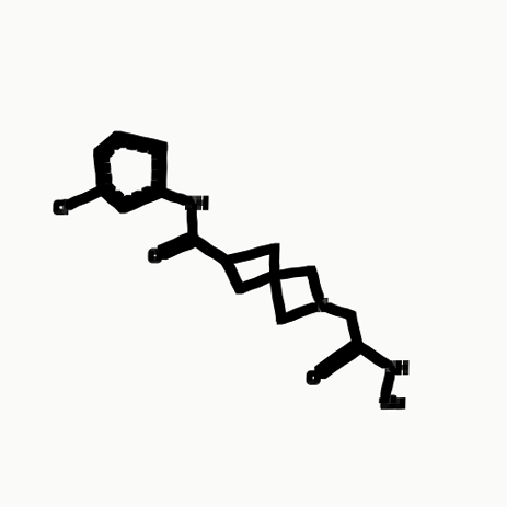 CC(C)(C)NC(=O)CN1CC2(CC(C(=O)Nc3cccc(Cl)c3)C2)C1